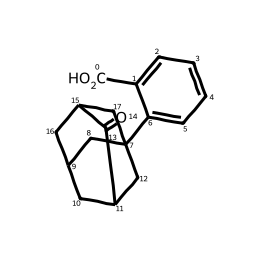 O=C(O)c1ccccc1C12CC3CC(C1)C(=O)C(C3)C2